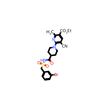 CCOC(=O)c1cc(C#N)c(N2CCC(C(=O)NS(=O)(=O)Cc3cccc(Br)c3)CC2)nc1C